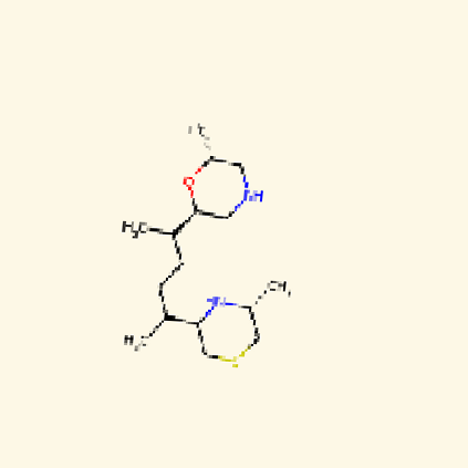 CC(CCC(C)[C@@H]1CNC[C@@H](C(C)C)O1)[C@@H]1CSC[C@@H](C)N1